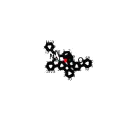 C1=CCCC(c2nc(-c3ccccc3)nc(-c3ccccc3-c3ccc4c(c3)-c3ccccc3C43c4ccccc4-c4c3ccc3c4oc4ccccc43)n2)=C1